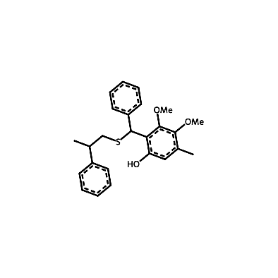 COc1c(C)cc(O)c(C(SCC(C)c2ccccc2)c2ccccc2)c1OC